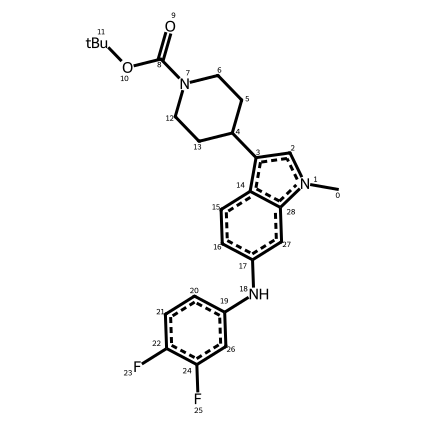 Cn1cc(C2CCN(C(=O)OC(C)(C)C)CC2)c2ccc(Nc3ccc(F)c(F)c3)cc21